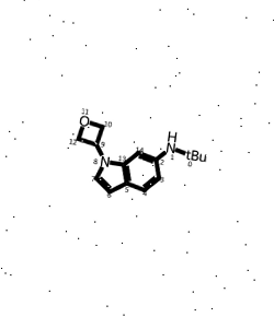 CC(C)(C)Nc1ccc2ccn(C3COC3)c2c1